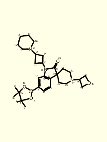 CC1(C)OB(c2ccc3c(c2)N(C2CC(N4CCCCC4)C2)C(=O)C32CCN(C3COC3)CC2)OC1(C)C